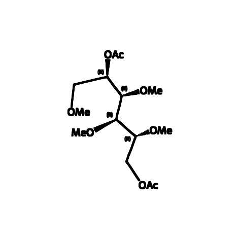 COC[C@@H](OC(C)=O)[C@@H](OC)[C@H](OC)[C@@H](COC(C)=O)OC